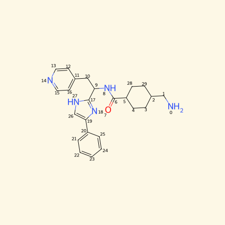 NCC1CCC(C(=O)NC(Cc2ccncc2)c2nc(-c3ccccc3)c[nH]2)CC1